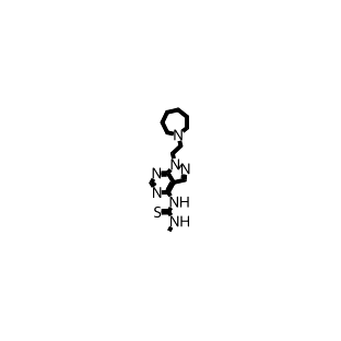 CNC(=S)Nc1ncnc2c1cnn2CCN1CCCCCC1